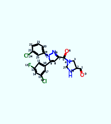 O=CC1CN(C(=O)c2cc(-c3cc(F)cc(Cl)c3)n(-c3cccc(Cl)c3)n2)CN1